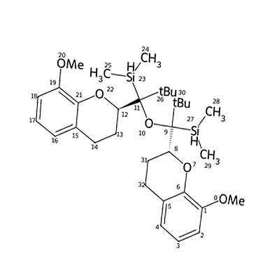 COc1cccc2c1O[C@@H](C(OC([C@H]1CCc3cccc(OC)c3O1)([SiH](C)C)C(C)(C)C)([SiH](C)C)C(C)(C)C)CC2